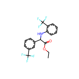 CCOC(=O)C(Nc1ccccc1C(F)(F)F)c1cccc(C(F)(F)F)c1